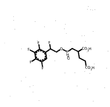 O=C(O)CCC(C[PH](=O)OCC(F)c1cc(F)c(F)c(F)c1F)C(=O)O